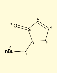 CCCCCC1CC=CC1=O